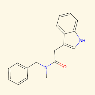 CN(Cc1ccccc1)C(=O)Cc1c[nH]c2ccccc12